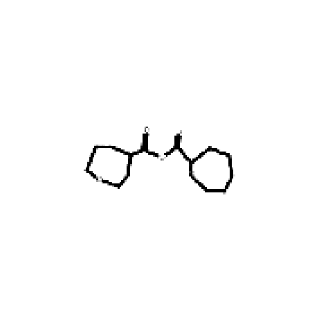 O=C(OC(=O)C1CCCCCC1)C1CCCCCC1